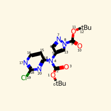 CC(C)(C)OC(=O)N(c1cnn(C(=O)OC(C)(C)C)c1)c1ccnc(Cl)n1